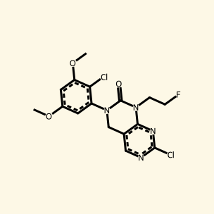 COc1cc(OC)c(Cl)c(N2Cc3cnc(Cl)nc3N(CCF)C2=O)c1